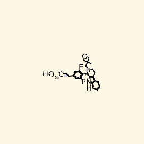 CC1(CN2CCc3c([nH]c4ccccc34)[C@H]2c2c(F)cc(/C=C/C(=O)O)cc2F)COC1